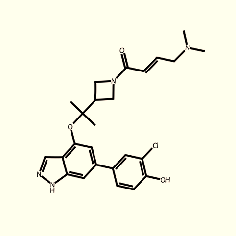 CN(C)C/C=C/C(=O)N1CC(C(C)(C)Oc2cc(-c3ccc(O)c(Cl)c3)cc3[nH]ncc23)C1